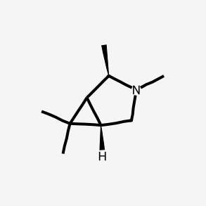 C[C@@H]1C2[C@H](CN1C)C2(C)C